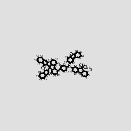 CC1(C)c2ccccc2-c2ccc(N(c3ccc(-c4cccc5c4-c4ccccc4C54c5ccc6ccccc6c5Oc5c4ccc4ccccc54)cc3)c3ccc4oc5ccccc5c4c3)cc21